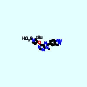 Cn1c(-c2ccc3[nH]ncc3c2)nc2c(OC3CCN(C(=O)O)C3C(C)(C)C)ncnc21